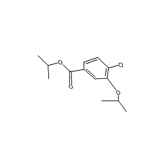 CC(C)OC(=O)c1ccc(Cl)c(OC(C)C)c1